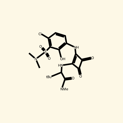 CNC(=O)C(Nc1c(Nc2ccc(Cl)c(S(=O)(=O)N(C)C)c2O)c(=O)c1=O)C(C)(C)C